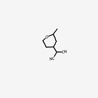 CC1CC(C(C#N)C#N)CCO1